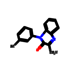 N#Cc1cccc(-n2c(=O)c(C(=O)O)nc3ccccc32)c1